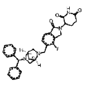 O=C1CCC(N2Cc3c(ccc(CN4C[C@H]5C[C@@H]4CN5C(c4ccccc4)c4ccccc4)c3F)C2=O)C(=O)N1